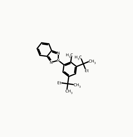 CCC(C)(C)c1cc(-n2nc3ccccc3n2)c(C)c(C(C)(C)CC)c1